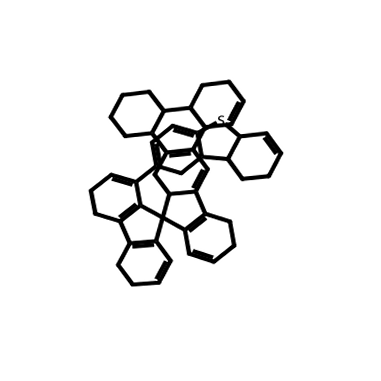 C1=CC2=C(CC1)C1=CC3=C(CC1C21C2=C(CCC=C2)C2=C1C(C1=CC=C4SC5C=CCCC5C4C1)=CCC2)C1CCCCC1C1CCC=CC31